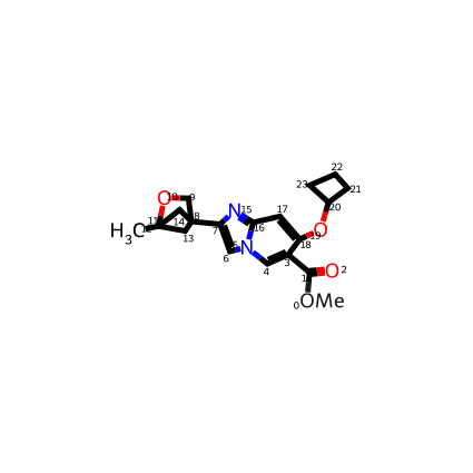 COC(=O)c1cn2cc(C34COC(C)(C3)C4)nc2cc1OC1CCC1